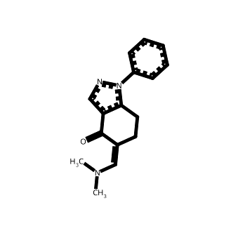 CN(C)/C=C1/CCc2c(cnn2-c2ccccc2)C1=O